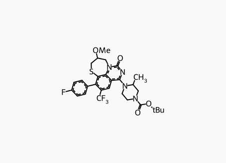 COC1CSc2c(-c3ccc(F)cc3)c(C(F)(F)F)cc3c(N4CCN(C(=O)OC(C)(C)C)CC4C)nc(=O)n(c23)C1